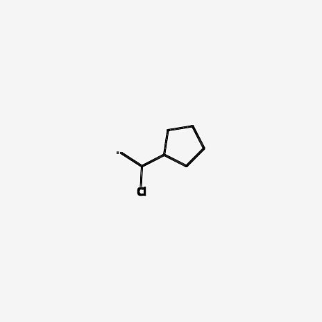 [CH2]C(Cl)C1CCCC1